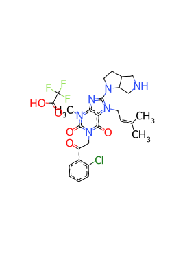 CC(C)=CCn1c(N2CCC3CNCC32)nc2c1c(=O)n(CC(=O)c1ccccc1Cl)c(=O)n2C.O=C(O)C(F)(F)F